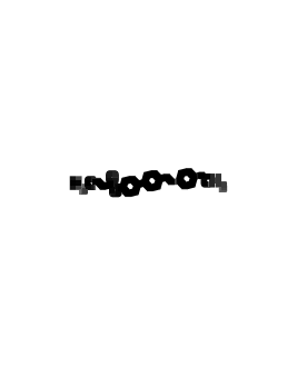 CCCC(=O)OC1CCC(C2CCC(CC[C@H]3CC[C@H](CC)CC3)CC2)CC1